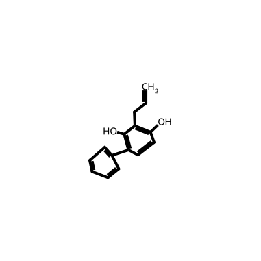 C=CCc1c(O)ccc(-c2ccccc2)c1O